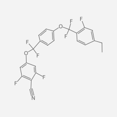 CCc1ccc(C(F)(F)Oc2ccc(C(F)(F)Oc3cc(F)c(C#N)c(F)c3)cc2)c(F)c1